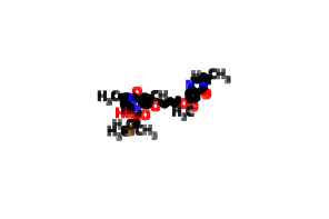 COc1cc2c(cc1OCCCCCOc1cc3c(cc1C)C(=O)N1C=C(C)C[C@H]1C(O)N3C(=O)OCC(C)(C)SC)N=C[C@@H]1CC(C)=CN1C2=O